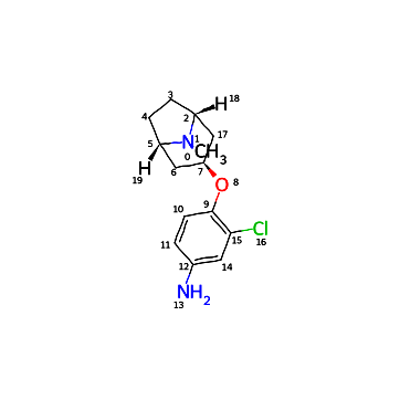 CN1[C@@H]2CC[C@H]1C[C@H](Oc1ccc(N)cc1Cl)C2